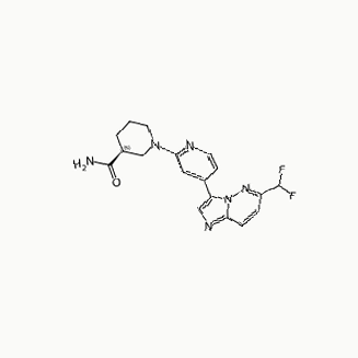 NC(=O)[C@H]1CCCN(c2cc(-c3cnc4ccc(C(F)F)nn34)ccn2)C1